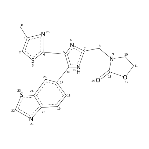 Cc1csc(-c2nc(CN3CCOC3=O)[nH]c2-c2ccc3ncsc3c2)n1